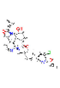 COc1ncc([C@H]2CC[C@H](CN(c3cc(-c4coc(C5CC5)n4)ccn3)C(=O)[C@H]3CC[C@H](O)CC3)CC2)cc1Cl